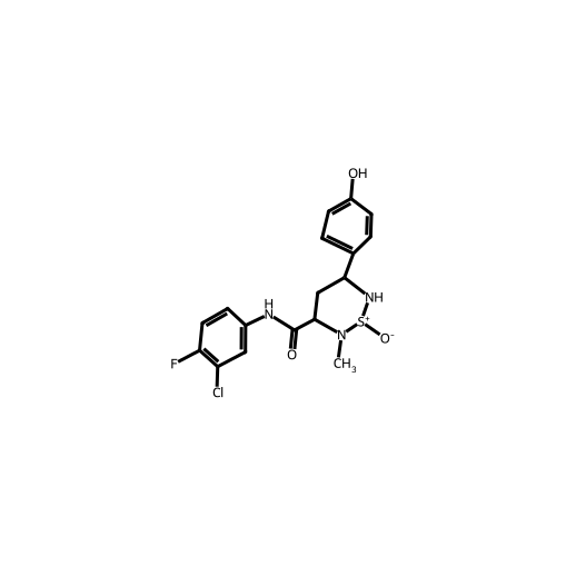 CN1C(C(=O)Nc2ccc(F)c(Cl)c2)CC(c2ccc(O)cc2)N[S+]1[O-]